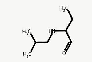 CCC([C]=O)NCC(C)C